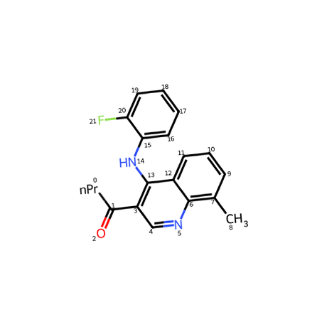 CCCC(=O)c1cnc2c(C)cccc2c1Nc1ccccc1F